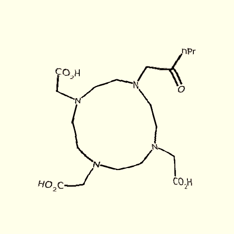 CCCC(=O)CN1CCN(CC(=O)O)CCN(CC(=O)O)CCN(CC(=O)O)CC1